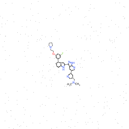 CN(C)Cc1cncc(-c2cnc3[nH]nc(-c4cc5c(-c6cc(F)cc(OCCN7CCCC7)c6)cccc5[nH]4)c3c2)c1